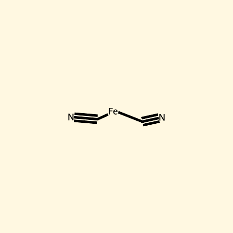 N#[C][Fe][C]#N